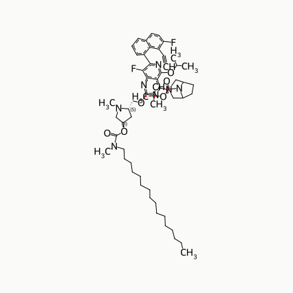 C#Cc1c(F)ccc2cccc(-c3nc(OC(C)C)c4c(N5CC6CCC(C5)N6C(=O)OC(C)(C)C)nc(OC[C@@H]5C[C@@H](OC(=O)N(C)CCCCCCCCCCCCCCCC)CN5C)nc4c3F)c12